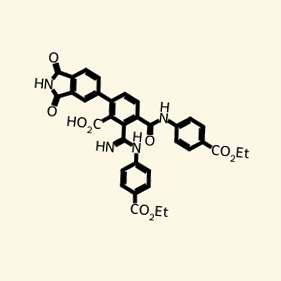 CCOC(=O)c1ccc(NC(=N)c2c(C(=O)Nc3ccc(C(=O)OCC)cc3)ccc(-c3ccc4c(c3)C(=O)NC4=O)c2C(=O)O)cc1